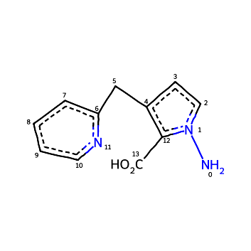 Nn1ccc(Cc2ccccn2)c1C(=O)O